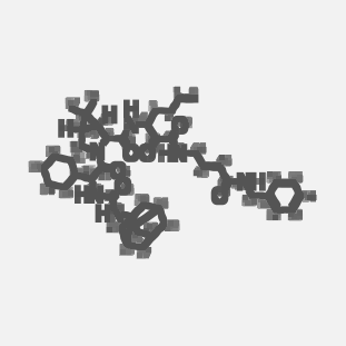 C=CCCC(NC(=O)[C@@H]1[C@@H]2[C@H](CN1C(=O)[C@@H](NC(=O)NC13CC4CC(CC(C4)C1)C3)C1CCCCC1)C2(C)C)C(=O)C(=O)NC/C=C/C(=O)NCc1ccccc1